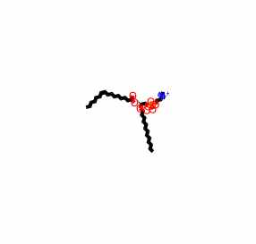 CCCCCC/C=C\CCCCCCCC(=O)OC[C@H](COP(=O)([O-])OCC[N+](C)(C)C)OC(=O)CCCCCCCCCCCC